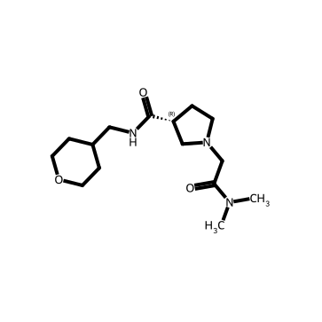 CN(C)C(=O)CN1CC[C@@H](C(=O)NCC2CCOCC2)C1